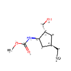 CC(C)(C)OC(=O)N[C@@H]1C[C@H](CN=O)C[C@H]1CO